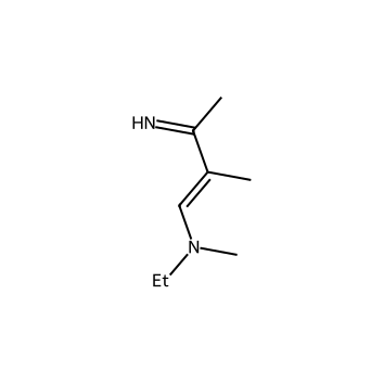 CCN(C)/C=C(\C)C(C)=N